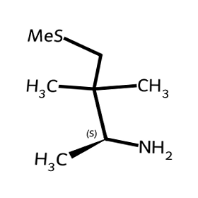 CSCC(C)(C)[C@H](C)N